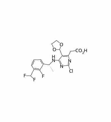 C[C@@H](Nc1nc(Cl)nc(CC(=O)O)c1C1OCCO1)c1cccc(C(F)F)c1F